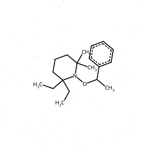 CCC1(CC)C[CH]CC(C)(C)N1OC(C)c1ccccc1